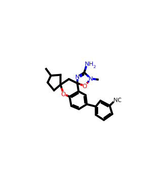 [C-]#[N+]c1cccc(-c2ccc3c(c2)C2(CC4(CCC(C)C4)O3)N=C(N)N(C)O2)c1